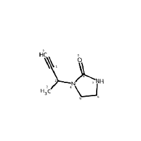 C#CC(C)N1CCNC1=O